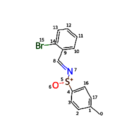 Cc1ccc([S@+]([O-])N=Cc2ccccc2Br)cc1